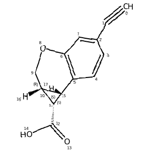 C#Cc1ccc2c(c1)OC[C@H]1[C@@H](C(=O)O)[C@@H]21